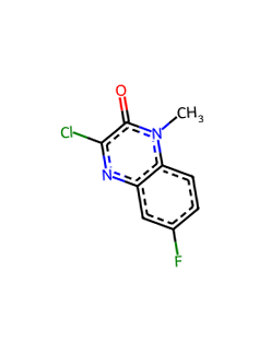 Cn1c(=O)c(Cl)nc2cc(F)ccc21